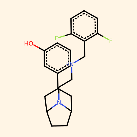 Oc1cccc(C2CC3CCC(C2)N3CCNCc2c(F)cccc2F)c1